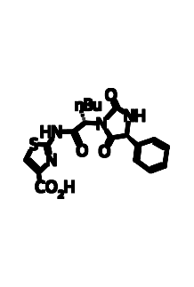 CCCC[C@@H](C(=O)Nc1nc(C(=O)O)cs1)N1C(=O)N[C@@H](c2ccccc2)C1=O